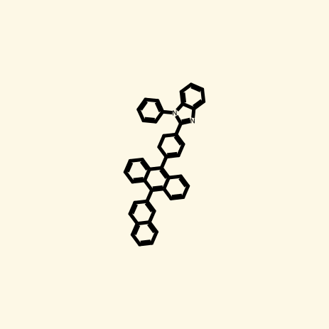 C1=C(c2c3ccccc3c(-c3ccc4ccccc4c3)c3ccccc23)CCC(c2nc3ccccc3n2-c2ccccc2)=C1